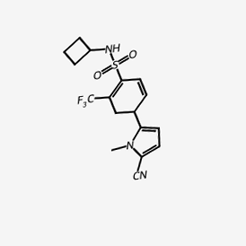 Cn1c(C#N)ccc1C1C=CC(S(=O)(=O)NC2CCC2)=C(C(F)(F)F)C1